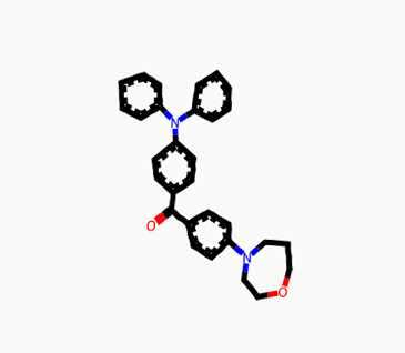 O=C(c1ccc(N2CCCOCC2)cc1)c1ccc(N(c2ccccc2)c2ccccc2)cc1